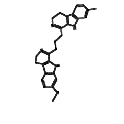 COc1ccc2c3c([nH]c2c1)C(CCCC1=NCCc2c1[nH]c1cc(C)ccc21)=NCC3